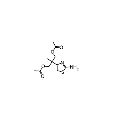 CC(=O)OCC(C)(COC(C)=O)c1csc(N)n1